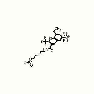 CCc1cc(S(F)(F)(F)(F)F)cc2c1O[C@H](C(F)(F)F)C(C(=O)NCCOCCO[N+](=O)[O-])=C2